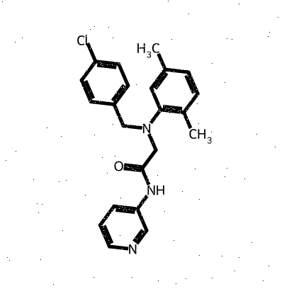 Cc1ccc(C)c(N(CC(=O)Nc2cccnc2)Cc2ccc(Cl)cc2)c1